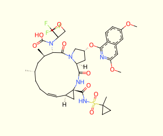 COc1ccc2c(O[C@@H]3C[C@H]4C(=O)N[C@]5(C(=O)NS(=O)(=O)C6(C)CC6)C[C@H]5C=CCC[C@H](C)C[C@@H](C)[C@H](N(C(=O)O)C5(C(F)(F)F)COC5)C(=O)N4C3)nc(OC)cc2c1